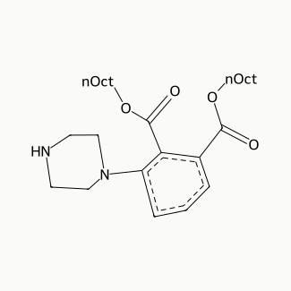 CCCCCCCCOC(=O)c1cccc(N2CCNCC2)c1C(=O)OCCCCCCCC